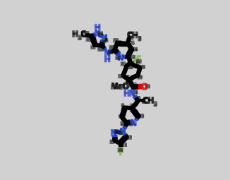 CO[C@]1(C(=O)N[C@@H](C)c2ccc(-n3cc(F)cn3)nc2)CC[C@](F)(c2cc(C)cc(Nc3cc(C)[nH]n3)n2)CC1